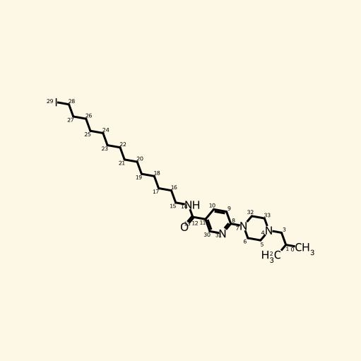 CC(C)CN1CCN(c2ccc(C(=O)NCCCCCCCCCCCCCCI)cn2)CC1